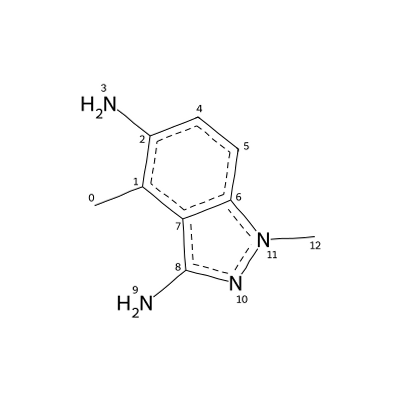 Cc1c(N)ccc2c1c(N)nn2C